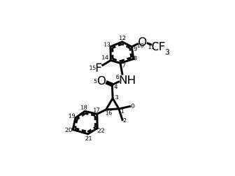 CC1(C)C(C(=O)Nc2cc(OC(F)(F)F)ccc2F)C1c1ccccc1